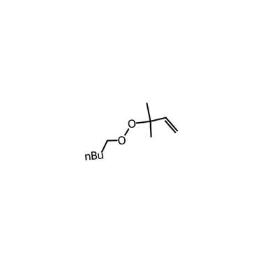 C=CC(C)(C)OOCCCCC